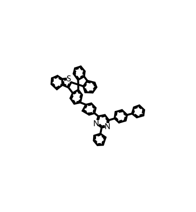 c1ccc(-c2ccc(-c3cc(-c4ccc(-c5ccc6c(c5)C5(c7ccccc7-c7ccccc75)c5sc7ccccc7c5-6)cc4)nc(-c4ccccc4)n3)cc2)cc1